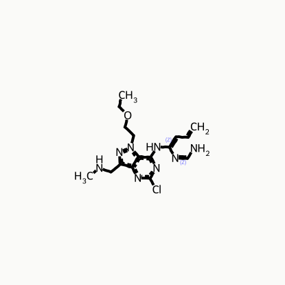 C=C/C=C(\N=C/N)Nc1nc(Cl)nc2c(CNC)nn(CCOCC)c12